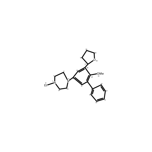 CCN1CCN(c2cc(-c3ccccc3)c(OC)c(C3CCCO3)c2)CC1